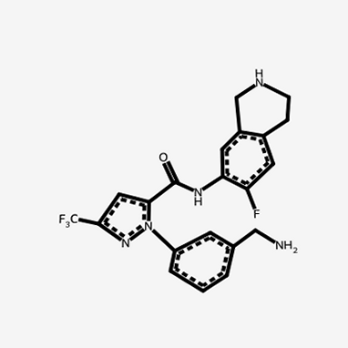 NCc1cccc(-n2nc(C(F)(F)F)cc2C(=O)Nc2cc3c(cc2F)CCNC3)c1